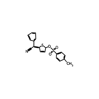 Cc1ccc(S(=O)(=O)OC2C=CC(=C(C#N)c3ccccc3)S2)cc1